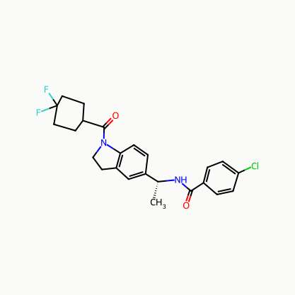 C[C@@H](NC(=O)c1ccc(Cl)cc1)c1ccc2c(c1)CCN2C(=O)C1CCC(F)(F)CC1